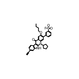 C#Cc1ccc2c(c1)[nH]c1c2c(=O)c2cc(OCCCC)c(-c3cccc(S(=O)(=O)F)c3)cc2n1C1CCCC1